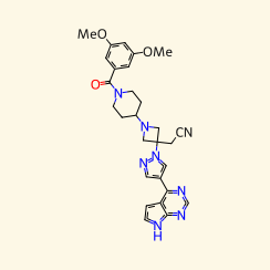 COc1cc(OC)cc(C(=O)N2CCC(N3CC(CC#N)(n4cc(-c5ncnc6[nH]ccc56)cn4)C3)CC2)c1